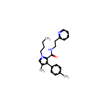 CCCCn1cc(C)c(-c2ccc(C)cc2)c1C(=O)NCCc1ccccn1